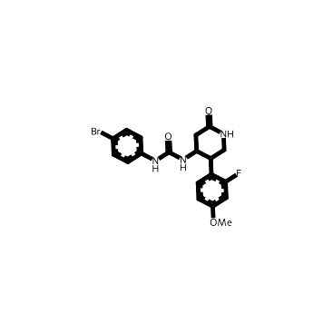 COc1ccc(C2CNC(=O)CC2NC(=O)Nc2ccc(Br)cc2)c(F)c1